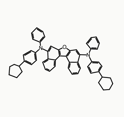 c1ccc(N(c2ccc(C3CCCCC3)cc2)c2cc3oc4cc(N(c5ccccc5)c5ccc(C6CCCCC6)cc5)c5ccccc5c4c3c3ccccc23)cc1